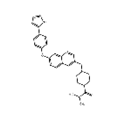 CN(C)C(=O)C1CCN(Cc2cnc3cc(Oc4ccc(-c5ccn[nH]5)cn4)ccc3c2)CC1